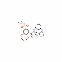 CCS(=O)(=O)c1cc2c(c(C(=O)NC(C)(C3=CCCCC3)C3CCCN3)c1)OCCCO2